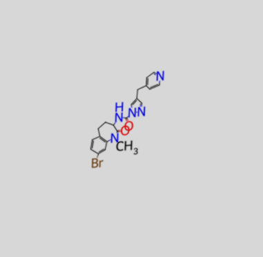 CN1C(=O)C(NC(=O)n2cc(Cc3ccncc3)cn2)CCc2ccc(Br)cc21